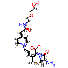 I.N[C@@H]1C(=O)N2C(C(=O)[O-])=C(C=CC[n+]3ccc(CC(=O)NCCOCCO)cc3)CS[C@H]12